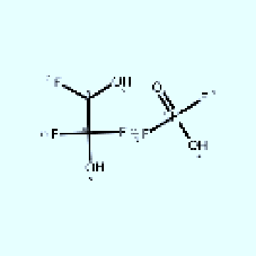 O=P(O)(F)F.OC(F)C(O)(F)F